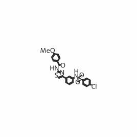 COc1ccc(C(=O)Nc2nc(-c3cccc(NS(=O)(=O)c4ccc(Cl)cc4)c3)cs2)cc1